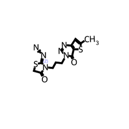 Cc1cc2nnn(CCCN3C(=O)CS/C3=N\C#N)c(=O)c2s1